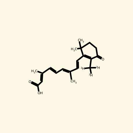 [2H]C([2H])([2H])C1=C(C=CC(C)=CC=CC(C)=CC(=O)O)C(C)(C)CCC1=O